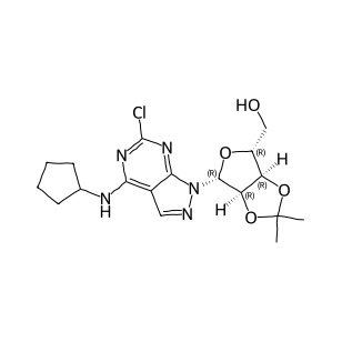 CC1(C)O[C@@H]2[C@H](O1)[C@@H](CO)O[C@H]2n1ncc2c(NC3CCCC3)nc(Cl)nc21